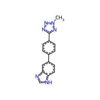 Cn1nnc(-c2[c]cc(-c3ccc4[nH]cnc4c3)cc2)n1